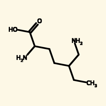 CCC(CN)CCC(N)C(=O)O